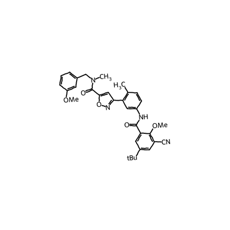 COc1cccc(CN(C)C(=O)c2cc(-c3cc(NC(=O)c4cc(C(C)(C)C)cc(C#N)c4OC)ccc3C)no2)c1